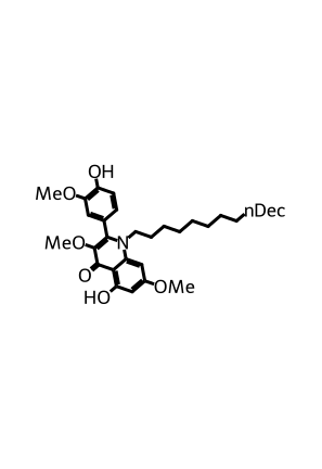 CCCCCCCCCCCCCCCCCCn1c(-c2ccc(O)c(OC)c2)c(OC)c(=O)c2c(O)cc(OC)cc21